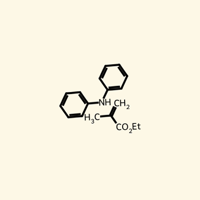 C=C(C)C(=O)OCC.c1ccc(Nc2ccccc2)cc1